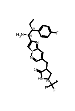 CC[C@@H](c1ccc(F)cc1)[C@H](N)c1cn2ncc(CC3C[C@@H](C(F)(F)F)NC3=O)cc2n1